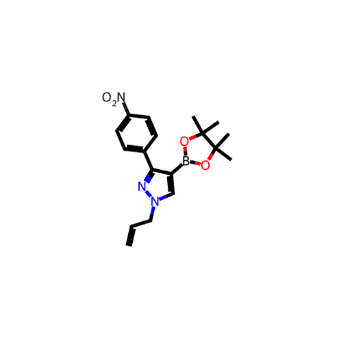 C=CCn1cc(B2OC(C)(C)C(C)(C)O2)c(-c2ccc([N+](=O)[O-])cc2)n1